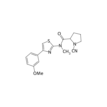 COc1cccc(-c2csc(N(C)C(=O)C3CCCN3C#N)n2)c1